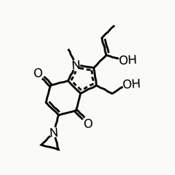 CC=C(O)c1c(CO)c2c(n1C)C(=O)C=C(N1CC1)C2=O